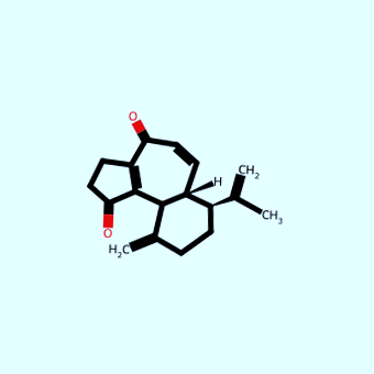 C=C1CC[C@H](C(=C)C)[C@H]2C=CC(=O)C3=C(C(=O)CC3)C12